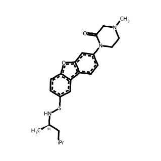 CC(C)C[C@@H](C)NSc1ccc2oc3cc(N4CCN(C)CC4=O)ccc3c2c1